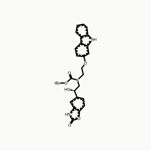 CC(C)(C)OC(=O)N(CCOc1ccc2c(c1)[nH]c1ccccc12)C[C@H](O)c1ccc2oc(=O)[nH]c2c1